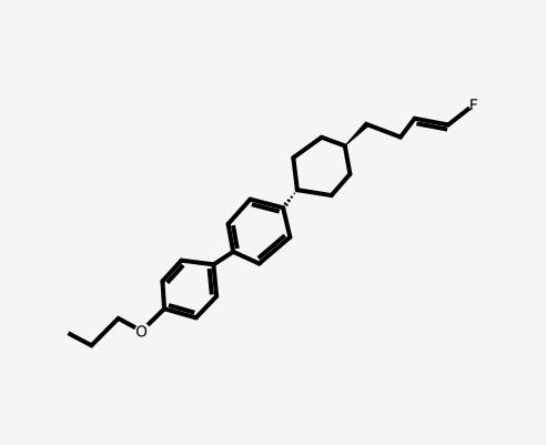 CCCOc1ccc(-c2ccc([C@H]3CC[C@H](CCC=CF)CC3)cc2)cc1